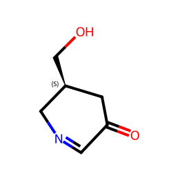 O=C1C=NC[C@@H](CO)C1